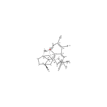 CC(C)(C)[C@]12CC[C@@H](C[C@@H](OC(N)=O)[C@H]1F)N2c1nc(Cl)nc2c(F)c(Cl)ncc12